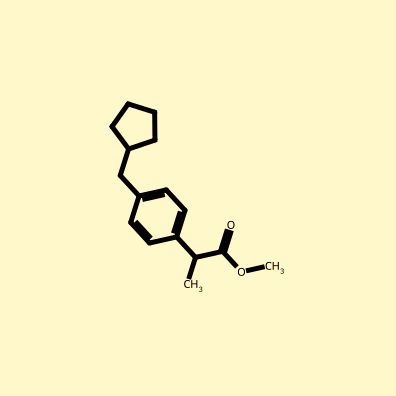 COC(=O)C(C)c1ccc(CC2CCCC2)cc1